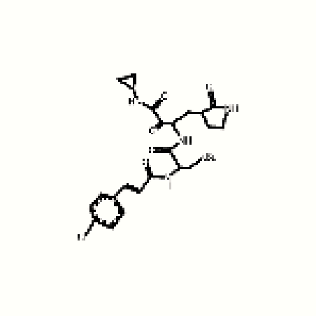 CC(C)(C)CC(NC(=O)/C=C/c1ccc(Cl)cc1)C(=O)NC(C[C@@H]1CCNC1=O)C(=O)C(=O)NC1CC1